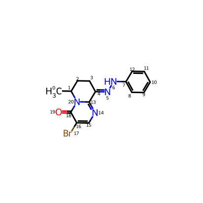 CC1CCC(=NNc2ccccc2)c2ncc(Br)c(=O)n21